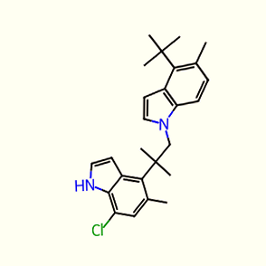 Cc1cc(Cl)c2[nH]ccc2c1C(C)(C)Cn1ccc2c(C(C)(C)C)c(C)ccc21